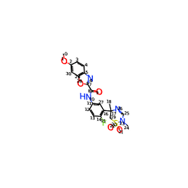 COc1ccc2nc(C(=O)Nc3ccc(F)c(C4(C)CS(=O)(=O)N(C)C=N4)c3)oc2c1